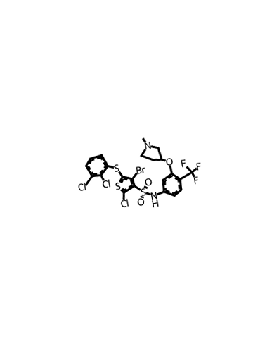 CN1CCC(Oc2cc(NS(=O)(=O)c3c(Cl)sc(Sc4cccc(Cl)c4Cl)c3Br)ccc2C(F)(F)F)C1